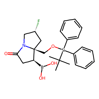 CC(C)(C)[Si](OC[C@]12C[C@@H](F)CN1C(=O)C[C@@H]2B(O)O)(c1ccccc1)c1ccccc1